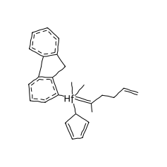 C=CCC[C](C)=[Hf]([CH3])([CH3])([c]1cccc2c1Cc1ccccc1-2)[CH]1C=CC=C1